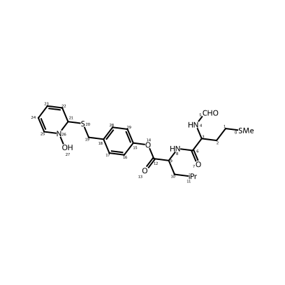 CSCCC(NC=O)C(=O)NC(CC(C)C)C(=O)Oc1ccc(CSC2C=CC=CN2O)cc1